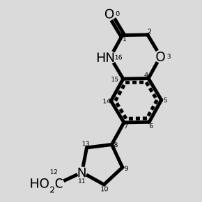 O=C1COc2ccc(C3CCN(C(=O)O)C3)cc2N1